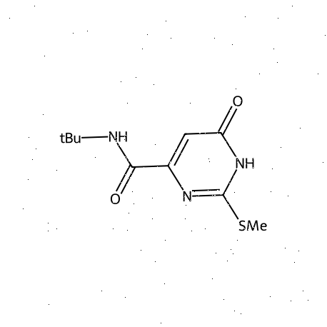 CSc1nc(C(=O)NC(C)(C)C)cc(=O)[nH]1